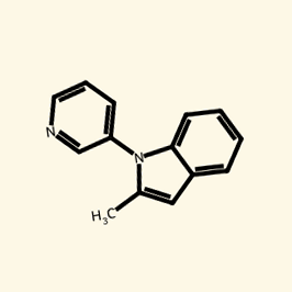 Cc1cc2ccccc2n1-c1cccnc1